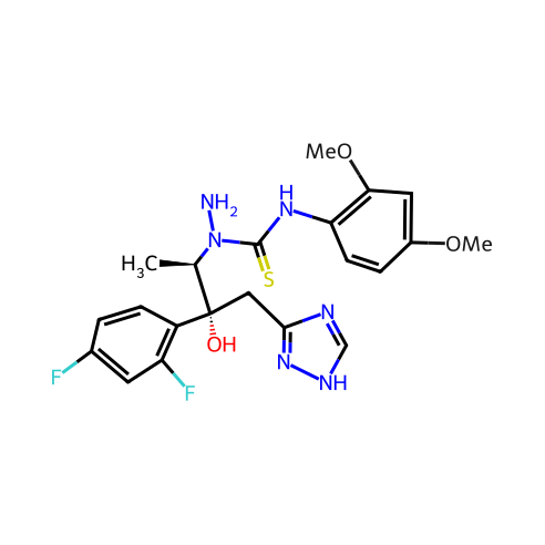 COc1ccc(NC(=S)N(N)[C@H](C)[C@@](O)(Cc2nc[nH]n2)c2ccc(F)cc2F)c(OC)c1